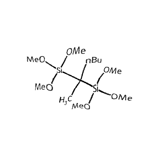 CCCCC(C)([Si](OC)(OC)OC)[Si](OC)(OC)OC